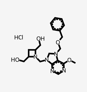 COc1ncnc2c1N(COCc1ccccc1)CN2CN1C(CO)CC1CO.Cl